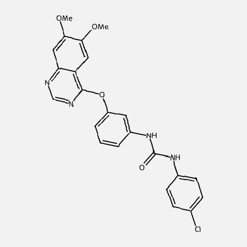 COc1cc2ncnc(Oc3cccc(NC(=O)Nc4ccc(Cl)cc4)c3)c2cc1OC